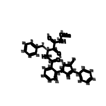 CONC(=O)C(=O)[C@@H](Cc1ccccc1)NC(=O)c1cccnc1-n1cc(C)c(-c2ccccc2)n1